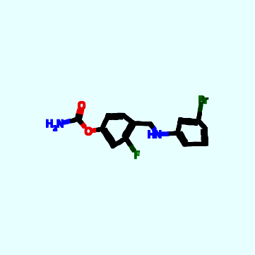 NC(=O)Oc1ccc(CNc2cccc(Br)c2)c(F)c1